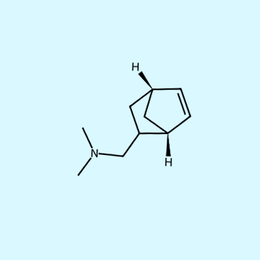 CN(C)CC1C[C@@H]2C=C[C@H]1C2